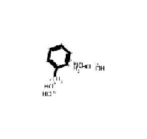 Cc1ccccc1.Cl.Cl.Cl.Cl.Cl.P